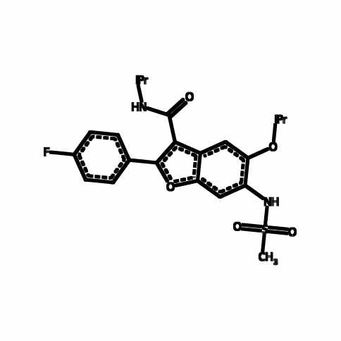 CC(C)NC(=O)c1c(-c2ccc(F)cc2)oc2cc(NS(C)(=O)=O)c(OC(C)C)cc12